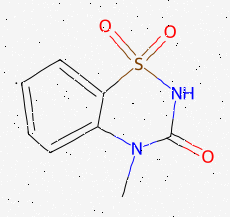 CN1C(=O)NS(=O)(=O)c2c[c]ccc21